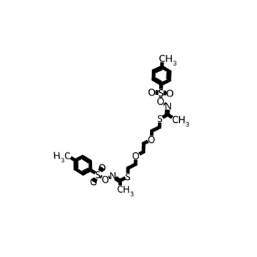 CC(=NOS(=O)(=O)c1ccc(C)cc1)SCCOCCOCCSC(C)=NOS(=O)(=O)c1ccc(C)cc1